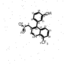 O=[SH](=O)Cc1cnc2c(C(F)(F)F)cccc2c1-c1cccc(O)c1